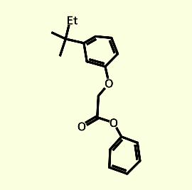 CCC(C)(C)c1cccc(OCC(=O)Oc2ccccc2)c1